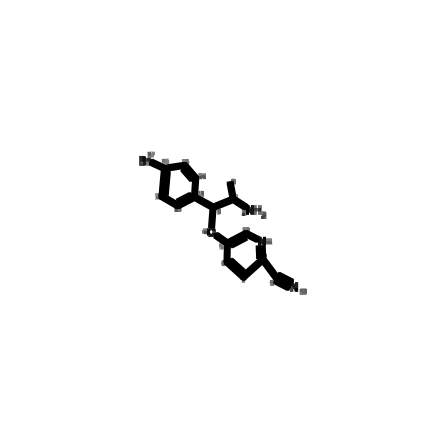 CC(N)C(Oc1ccc(C#N)nc1)c1ccc(Br)cc1